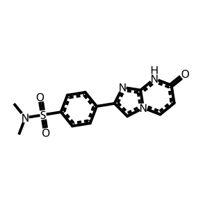 CN(C)S(=O)(=O)c1ccc(-c2cn3ccc(=O)[nH]c3n2)cc1